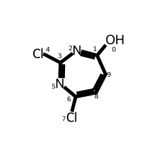 OC1=NC(Cl)=NC(Cl)=C=C1